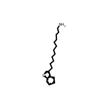 NCCCCCCCCCCCCc1csc2ccccc12